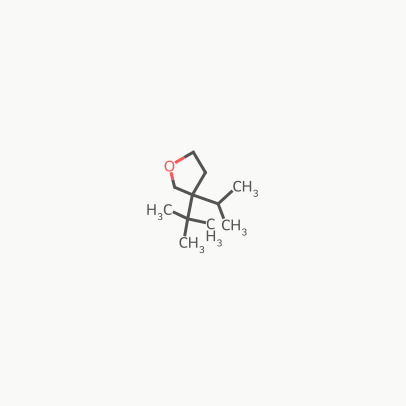 CC(C)C1(C(C)(C)C)CCOC1